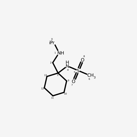 CC(C)NCC1(NS(C)(=O)=O)CCCCC1